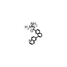 NC(N)=NC(=O)c1ccc2c(c1)C(c1ccc3ncccc3c1)=CCC2